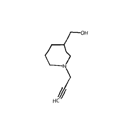 C#CCN1CCCC(CO)C1